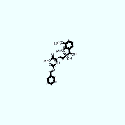 CCOC(=O)c1cccc(C(O)P(=O)(O)CC[C@H](NC(=O)OCc2ccccc2)C(=O)OC)c1OC